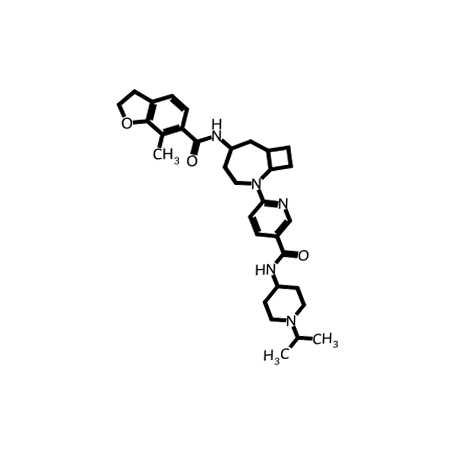 Cc1c(C(=O)NC2CCN(c3ccc(C(=O)NC4CCN(C(C)C)CC4)cn3)C3CCC3C2)ccc2c1OCC2